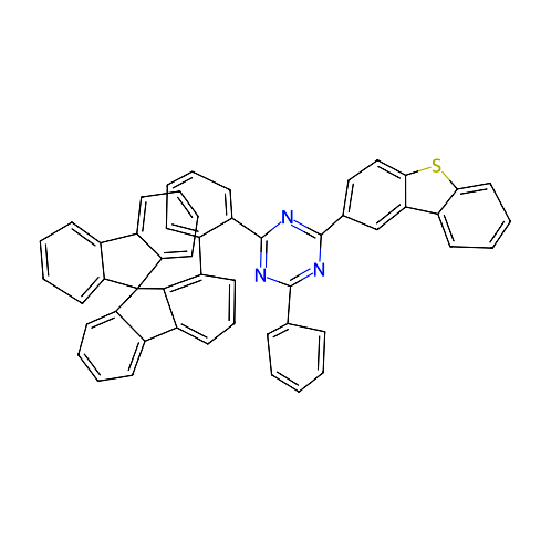 c1ccc(-c2nc(-c3ccc4sc5ccccc5c4c3)nc(-c3ccccc3-c3cccc4c3C3(c5ccccc5-c5ccccc53)c3ccccc3-4)n2)cc1